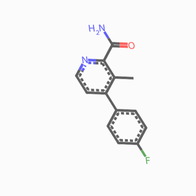 Cc1c(-c2ccc(F)cc2)ccnc1C(N)=O